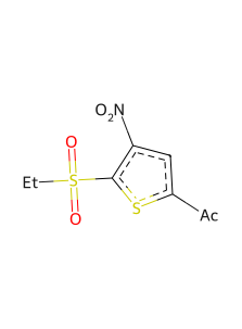 CCS(=O)(=O)c1sc(C(C)=O)cc1[N+](=O)[O-]